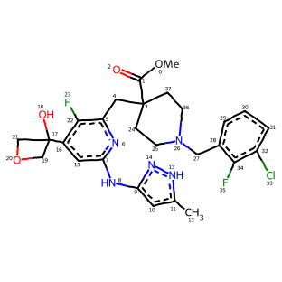 COC(=O)C1(Cc2nc(Nc3cc(C)[nH]n3)cc(C3(O)COC3)c2F)CCN(Cc2cccc(Cl)c2F)CC1